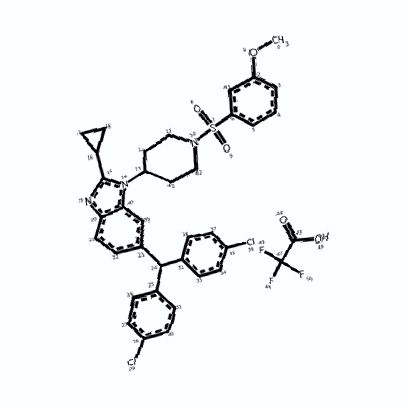 COc1cccc(S(=O)(=O)N2CCC(n3c(C4CC4)nc4ccc(C(c5ccc(Cl)cc5)c5ccc(Cl)cc5)cc43)CC2)c1.O=C(O)C(F)(F)F